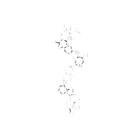 Cn1nc(C2CCC(=O)NC2=O)c2cccc(N3CC4CCN(c5ncc(Cl)c(Nc6ccc7c(c6)c6c(c(=O)n7C)OCC(F)(F)[C@H](C7CC7)N6)n5)CC4C3)c21